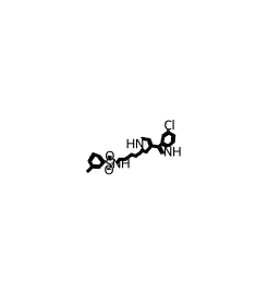 Cc1cccc(S(=O)(=O)NCCCCC2CC(c3c[nH]c4ccc(Cl)cc34)=CCN2)c1